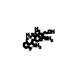 CC1(CN(CCO)C(N)=O)CCCC(/C=C(\N)c2c(F)cccc2F)=C1N